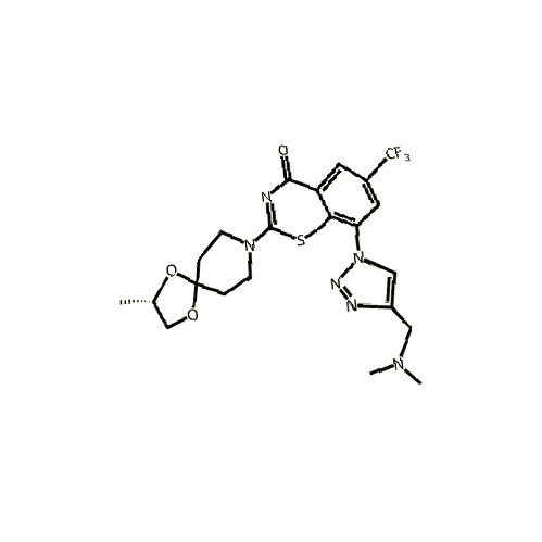 C[C@H]1COC2(CCN(c3nc(=O)c4cc(C(F)(F)F)cc(-n5cc(CN(C)C)nn5)c4s3)CC2)O1